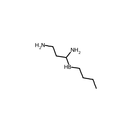 CCCCBC(N)CCN